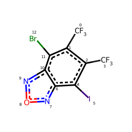 FC(F)(F)c1c(C(F)(F)F)c(I)c2nonc2c1Br